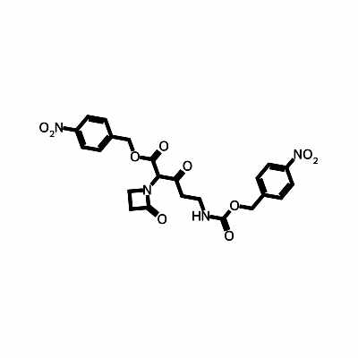 O=C(NCCC(=O)C(C(=O)OCc1ccc([N+](=O)[O-])cc1)N1CCC1=O)OCc1ccc([N+](=O)[O-])cc1